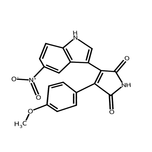 COc1ccc(C2=C(c3c[nH]c4ccc([N+](=O)[O-])cc34)C(=O)NC2=O)cc1